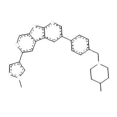 Cn1cc(-c2cc3c(cn2)[nH]c2ncc(-c4ccc(CN5CCC(C(F)(F)F)CC5)cc4)cc23)cn1